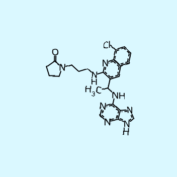 CC(Nc1ncnc2[nH]cnc12)c1cc2cccc(Cl)c2nc1NCCCN1CCCC1=O